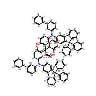 c1ccc(-c2cccc(N(c3ccc4c(c3)-c3ccccc3C4(c3ccccc3)c3ccccc3)c3ccc4c(c3)C3(c5ccccc5Oc5ccccc53)c3cc(N(c5cccc(-c6ccccc6)c5)c5ccc6c(c5)-c5ccccc5C6(c5ccccc5)c5ccccc5)ccc3O4)c2)cc1